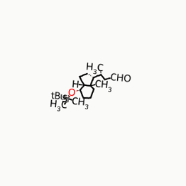 C[C@H](CC=O)[C@H]1CC[C@H]2[C@@H](O[Si](C)(C)C(C)(C)C)CCC[C@@]12C